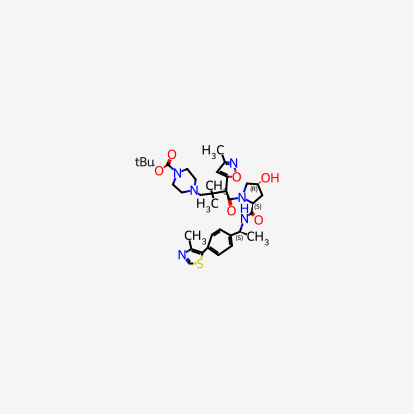 Cc1cc(C(C(=O)N2C[C@H](O)C[C@H]2C(=O)N[C@@H](C)c2ccc(-c3scnc3C)cc2)C(C)(C)CN2CCN(C(=O)OC(C)(C)C)CC2)on1